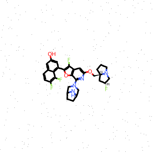 Oc1cc(-c2oc3c(N4CC5CCC(C4)N5)nc(OC[C@@]45CCCN4C[C@H](F)C5)cc3c2F)c2c(F)c(F)ccc2c1